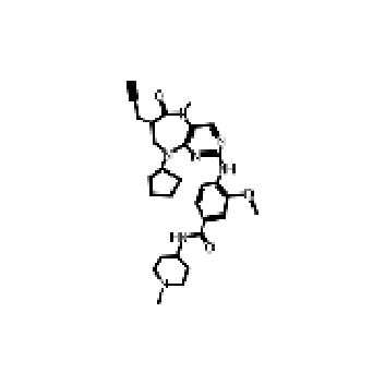 C#CC[C@@H]1CN(C2CCCC2)c2nc(Nc3ccc(C(=O)NC4CCN(C)CC4)cc3OC)ncc2N(C)C1=O